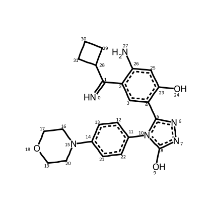 N=C(c1cc(-c2nnc(O)n2-c2ccc(N3CCOCC3)cc2)c(O)cc1N)C1CCC1